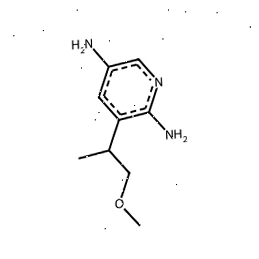 COCC(C)c1cc(N)cnc1N